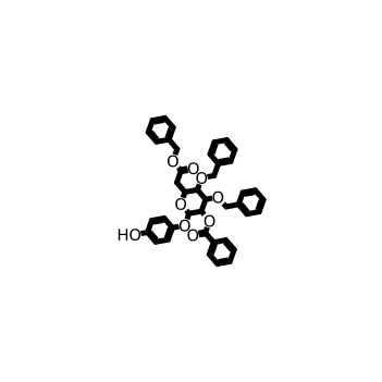 O=C(CC1OC(Oc2ccc(O)cc2)C(OC(=O)c2ccccc2)C(OCc2ccccc2)C1OCc1ccccc1)OCc1ccccc1